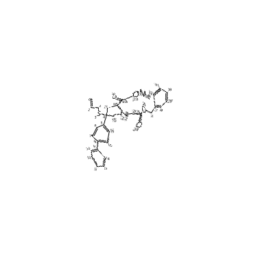 C=CCSC1(c2ccc(-c3ccccc3)cc2)CC(C(=O)OC)N(C(=O)OCc2ccccc2)C1